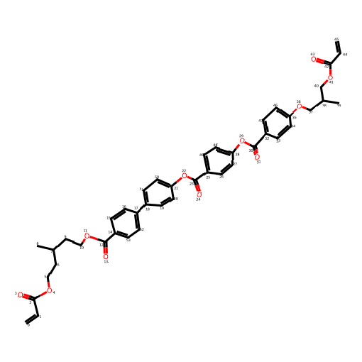 C=CC(=O)OCCC(C)CCOC(=O)c1ccc(-c2ccc(OC(=O)c3ccc(OC(=O)c4ccc(OCC(C)COC(=O)C=C)cc4)cc3)cc2)cc1